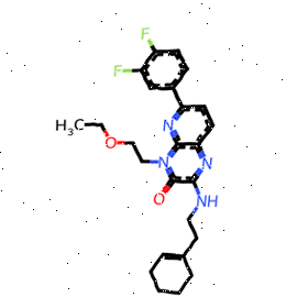 CCOCCn1c(=O)c(NCCC2=CCCCC2)nc2ccc(-c3ccc(F)c(F)c3)nc21